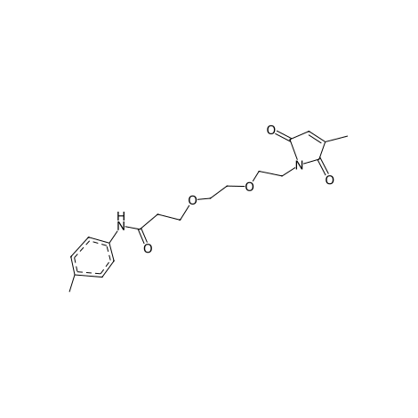 CC1=CC(=O)N(CCOCCOCCC(=O)Nc2ccc(C)cc2)C1=O